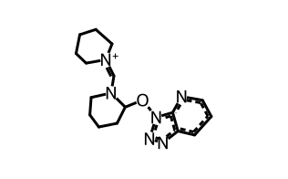 C(N1CCCCC1On1nnc2cccnc21)=[N+]1CCCCC1